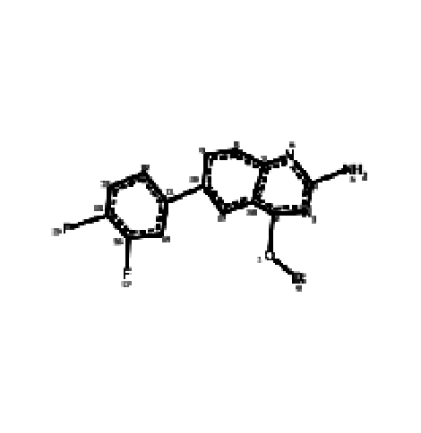 CCOc1nc(N)nc2ccc(-c3ccc(F)c(F)c3)cc12